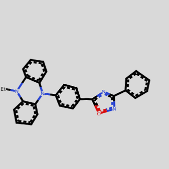 CCN1c2ccccc2N(c2ccc(-c3nc(-c4ccccc4)no3)cc2)c2ccccc21